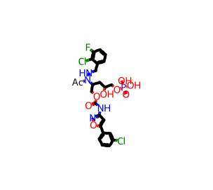 CC(=O)N(NCc1cccc(F)c1Cl)C(COC(=O)Nc1cc(-c2cccc(Cl)c2)on1)CC(O)COP(=O)(O)O